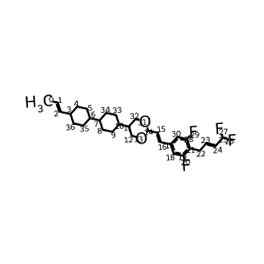 C/C=C/C1CCC(C2CCC(C3COC(/C=C/c4cc(F)c(C/C=C/C(F)F)c(F)c4)OC3)CC2)CC1